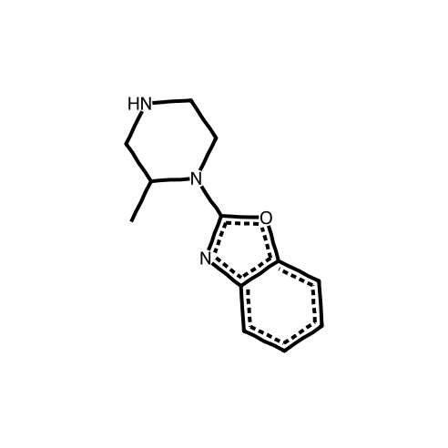 CC1CNCCN1c1nc2ccccc2o1